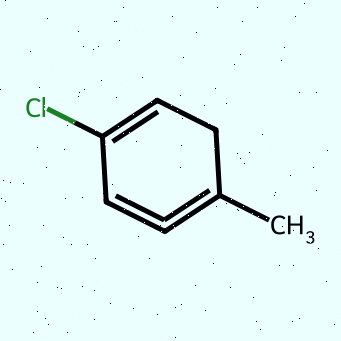 CC1=C=CC(Cl)=CC1